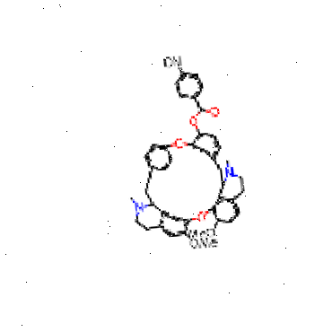 COc1cc2c3cc1Oc1c(OC)ccc4c1C(Cc1ccc(OC(=O)c5ccc(N=O)cc5)c(c1)Oc1ccc(cc1)CC3N(C)CC2)N(C)CC4